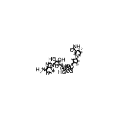 NC(=O)c1ccc[n+](C2CCC(COP(=O)(O)OP(=O)(O)OCC3OC(n4cnc5c(N)ncnc54)C(O)C3O)C2)c1